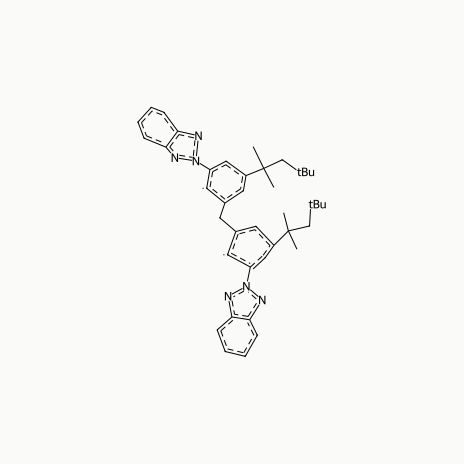 CC(C)(C)CC(C)(C)c1cc(Cc2[c]c(-n3nc4ccccc4n3)cc(C(C)(C)CC(C)(C)C)c2)[c]c(-n2nc3ccccc3n2)c1